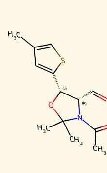 CC(=O)N1[C@@H](C=O)[C@@H](c2cc(C)cs2)OC1(C)C